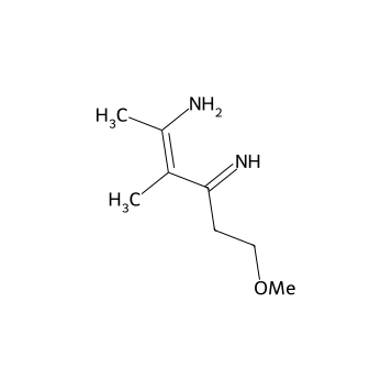 COCCC(=N)/C(C)=C(/C)N